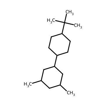 CC1CC(C)CC([C]2CCC(C(C)(C)C)CC2)C1